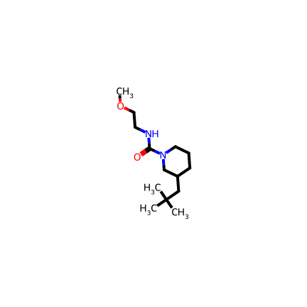 COCCNC(=O)N1CCCC(CC(C)(C)C)C1